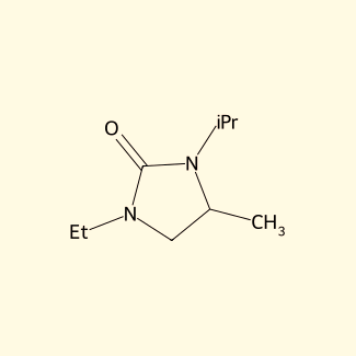 CCN1CC(C)N(C(C)C)C1=O